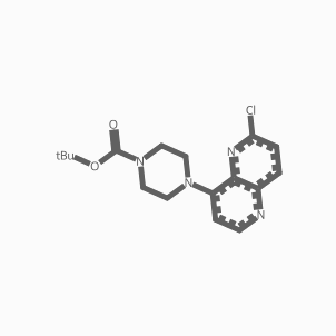 CC(C)(C)OC(=O)N1CCN(c2ccnc3ccc(Cl)nc23)CC1